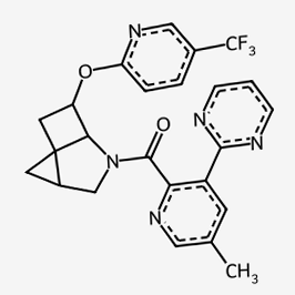 Cc1cnc(C(=O)N2CC3CC34CC(Oc3ccc(C(F)(F)F)cn3)C24)c(-c2ncccn2)c1